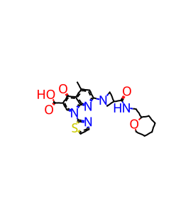 Cc1cc(N2CC(C(=O)NCC3CCCCCO3)C2)nc2c1c(=O)c(C(=O)O)cn2-c1nccs1